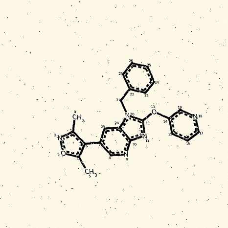 Cc1noc(C)c1-c1cnc2nc(Oc3cccnc3)n(Cc3ccccc3)c2c1